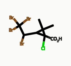 CC1(C)C(C(Br)C(Br)(Br)Br)C1(Cl)C(=O)O